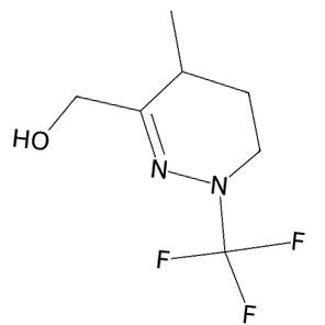 CC1CCN(C(F)(F)F)N=C1CO